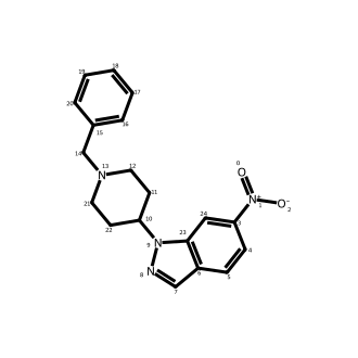 O=[N+]([O-])c1ccc2cnn(C3CCN(Cc4ccccc4)CC3)c2c1